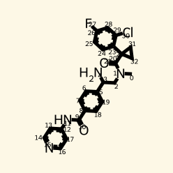 CN(CC(N)c1ccc(C(=O)Nc2ccncc2)cc1)C(=O)C1(c2ccc(F)cc2Cl)CC1